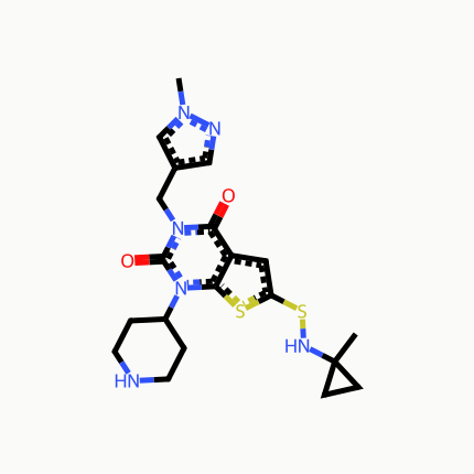 Cn1cc(Cn2c(=O)c3cc(SNC4(C)CC4)sc3n(C3CCNCC3)c2=O)cn1